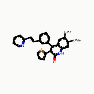 COc1cc2[nH]c(=O)c(-c3cccs3)c(-c3cccc(/C=C/c4ccccn4)c3)c2cc1OC